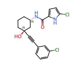 O=C(N[C@H]1CCC[C@@](O)(C#Cc2cccc(Cl)c2)C1)c1ccc(Cl)[nH]1